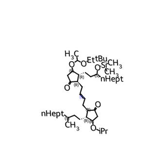 CCCCCCC[C@H](C)CC[C@H]1[C@H](OC(C)C)CC(=O)[C@@H]1C/C=C/C[C@H]1C(=O)C[C@@H](OC(C)OCC)[C@@H]1CC[C@H](CCCCCCC)O[Si](C)(C)C(C)(C)C